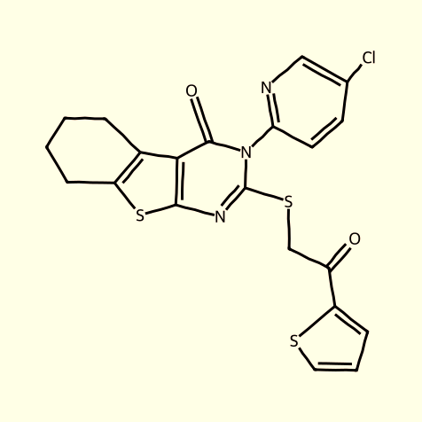 O=C(CSc1nc2sc3c(c2c(=O)n1-c1ccc(Cl)cn1)CCCC3)c1cccs1